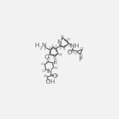 NCc1cc(-c2cc(NC(=O)C3C[C@@H]3F)ccn2)ccc1O[C@H]1CCN(C(=O)CO)C[C@H]1F